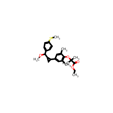 CCOC(=O)C(C)(C)Oc1c(C)cc(C2CC2C(OC)c2ccc(SC)cc2)cc1C